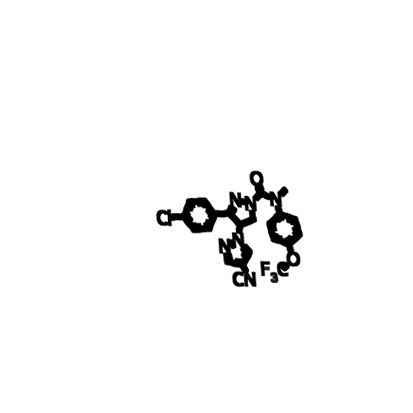 CN(C(=O)N1CC(n2cc(C#N)cn2)C(c2ccc(Cl)cc2)=N1)c1ccc(OC(F)(F)F)cc1